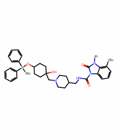 CC(C)n1c(=O)n(C(=O)NCC2CCN(CC3(O)CCC(O[Si](c4ccccc4)(c4ccccc4)C(C)(C)C)CC3)CC2)c2cccc(C(C)(C)C)c21